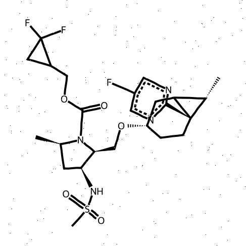 C[C@@H]1C[C@H](NS(C)(=O)=O)[C@H](CO[C@H]2CC[C@]3(c4ncc(F)cn4)C(C2)[C@@H]3C)N1C(=O)OCC1CC1(F)F